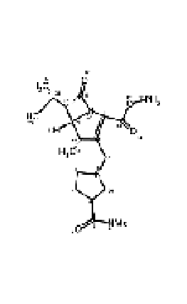 CNC(=O)[C@H]1CCN(CC2=C(C(=O)OP)N3C(=O)[C@@H]([C@@H](C)O)[C@H]3[C@H]2C)C1